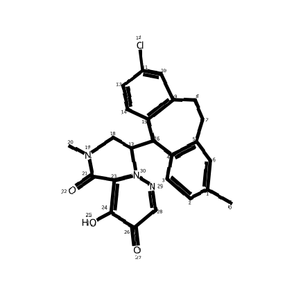 Cc1ccc2c(c1)CCc1cc(Cl)ccc1C2C1CN(C)C(=O)c2c(O)c(=O)cnn21